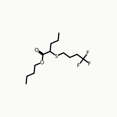 CCCCOC(=O)C(CCC)SCCCC(F)(F)F